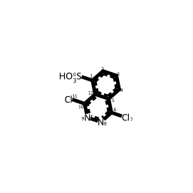 O=S(=O)(O)c1cccc2c(Cl)nnc(Cl)c12